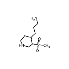 CS(=O)(=O)C1CNCCN1CCCN